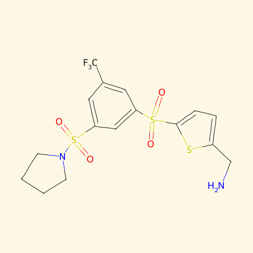 NCc1ccc(S(=O)(=O)c2cc(C(F)(F)F)cc(S(=O)(=O)N3CCCC3)c2)s1